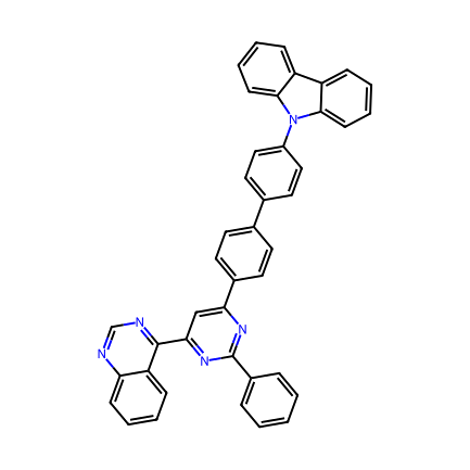 c1ccc(-c2nc(-c3ccc(-c4ccc(-n5c6ccccc6c6ccccc65)cc4)cc3)cc(-c3ncnc4ccccc34)n2)cc1